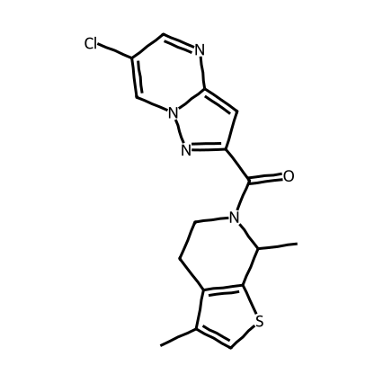 Cc1csc2c1CCN(C(=O)c1cc3ncc(Cl)cn3n1)C2C